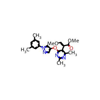 CO/C=C(/C(=O)OC)c1c(C)nc(C)nc1Oc1cnn(-c2cc(C)cc(C)c2)c1